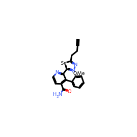 C#CCCc1nnc(-c2nccc(C(N)=O)c2-c2ccccc2OC)[se]1